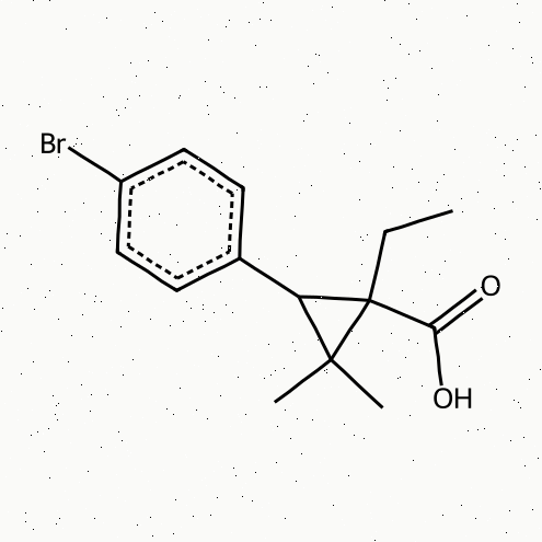 CCC1(C(=O)O)C(c2ccc(Br)cc2)C1(C)C